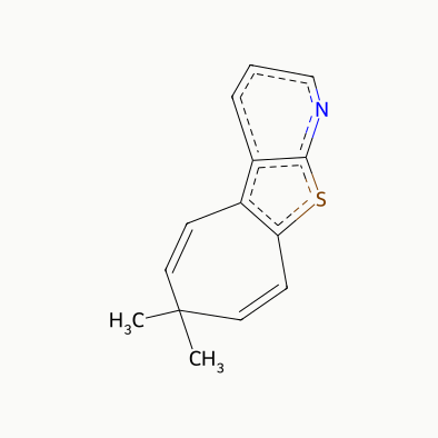 CC1(C)C=Cc2sc3ncccc3c2C=C1